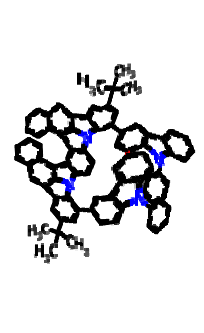 CC(C)(C)c1cc(-c2ccc3c(c2)c2ccccc2n3-c2ccccc2)c2c(c1)c1cc3ccccc3c3c4c5c6c7ccccc7cc7c8cc(C(C)(C)C)cc(-c9ccc%10c(c9)c9ccccc9n%10-c9ccccc9)c8n(c5ccc4n2c13)c76